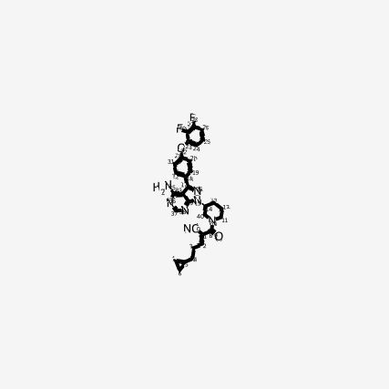 N#C/C(=C\CCC1CC1)C(=O)N1CCC[C@@H](n2nc(-c3ccc(Oc4cccc(F)c4F)cc3)c3c(N)ncnc32)C1